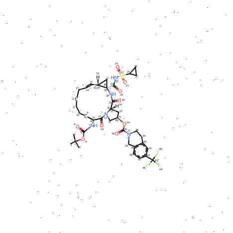 CC(C)(C)OC(=O)N[C@H]1CCCCC/C=C/[C@@H]2C[C@@]2(C(=O)NS(=O)(=O)C2CC2)NC(=O)[C@@H]2C[C@@H](OC(=O)N3CCc4cc(C(F)(F)F)ccc4C3)CN2C1=O